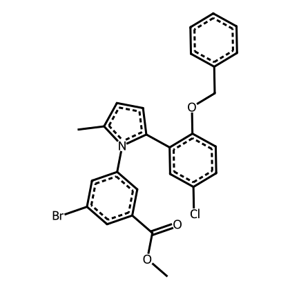 COC(=O)c1cc(Br)cc(-n2c(C)ccc2-c2cc(Cl)ccc2OCc2ccccc2)c1